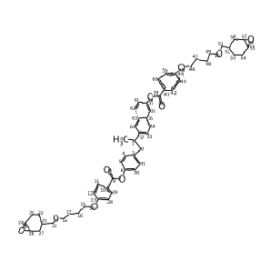 CC(Cc1ccc(OC(=O)c2ccc(OCCCCOCC3CCC4OC4C3)cc2)cc1)c1ccc2cc(OC(=O)c3ccc(OCCCCOCC4CCC5OC5C4)cc3)ccc2c1